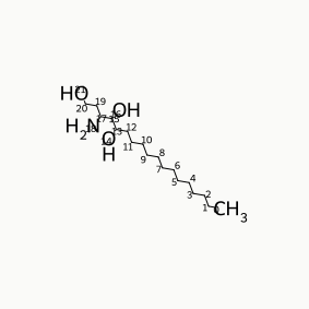 CCCCCCCCCCCCCC(O)C(O)C(N)CCO